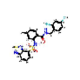 Cc1ccc(C(=O)NCc2ccc(F)cc2F)c(NS(=O)(=O)c2cccc3nsnc23)c1